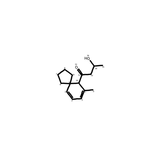 CC1=CC=CC2(CCCC2)C1C(=O)CC(C)O